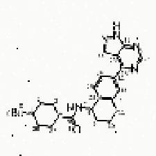 CC(C)(C)C1CCC(C(=O)NC2CCCc3cc(-c4ncnc5[nH]ncc45)ccc32)CC1